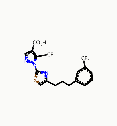 O=C(O)c1cnn(-c2nc(CCCc3cccc(C(F)(F)F)c3)cs2)c1C(F)(F)F